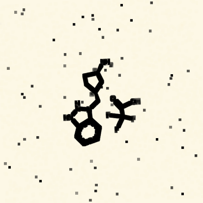 N[C@@H]1CC[C@H](CN2NNc3ccccc32)C1.O=C(O)C(F)(F)F